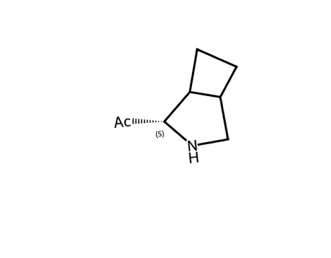 CC(=O)[C@H]1NCC2CCC21